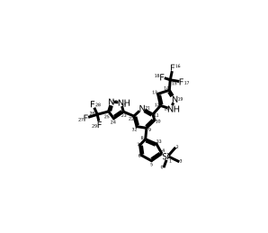 C[Si](C)(C)c1cccc(-c2cc(-c3cc(C(F)(F)F)n[nH]3)nc(-c3cc(C(F)(F)F)n[nH]3)c2)c1